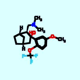 COc1ccc(OC(F)(F)F)c([C@@]2(O)C[C@H]3CC[C@H](C3)[C@@H]2CN(C)C)c1